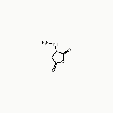 NPC1CC(=O)OC1=O